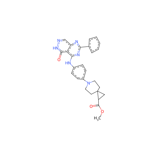 COC(=O)C1CC12CCN(c1ccc(Nc3nc(-c4ccccc4)nc4cn[nH]c(=O)c34)cc1)CC2